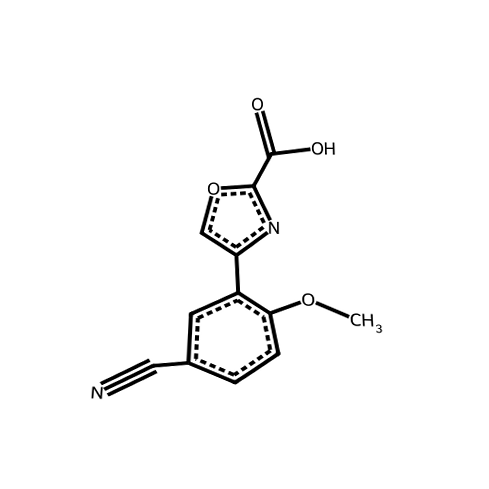 COc1ccc(C#N)cc1-c1coc(C(=O)O)n1